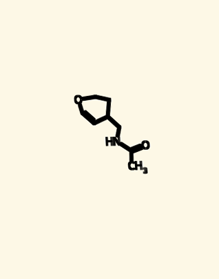 CC(=O)NCC1C=COCC1